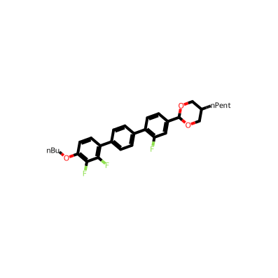 CCCCCC1COC(c2ccc(-c3ccc(-c4ccc(OCCCC)c(F)c4F)cc3)c(F)c2)OC1